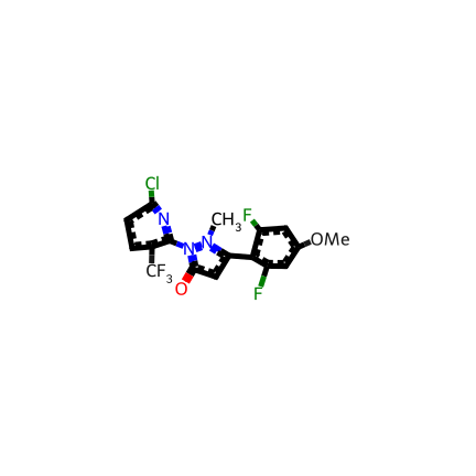 COc1cc(F)c(-c2cc(=O)n(-c3nc(Cl)ccc3C(F)(F)F)n2C)c(F)c1